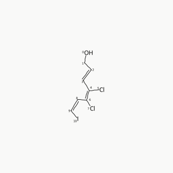 OC/C=C/C(Cl)=C(Cl)\C=C/I